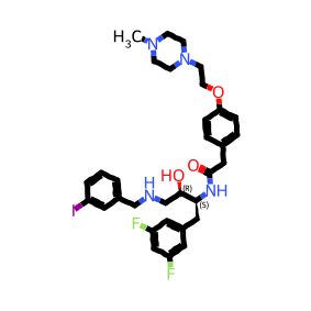 CN1CCN(CCOc2ccc(CC(=O)N[C@@H](Cc3cc(F)cc(F)c3)[C@H](O)CNCc3cccc(I)c3)cc2)CC1